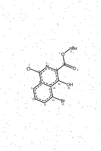 CCCCOC(=O)c1nc(Cl)c2cccc(Br)c2c1O